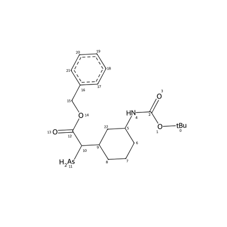 CC(C)(C)OC(=O)NC1CCCC(C([AsH2])C(=O)OCc2ccccc2)C1